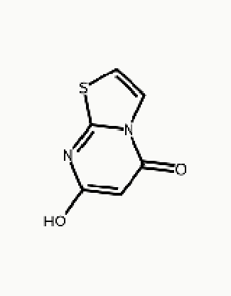 O=c1cc(O)nc2sccn12